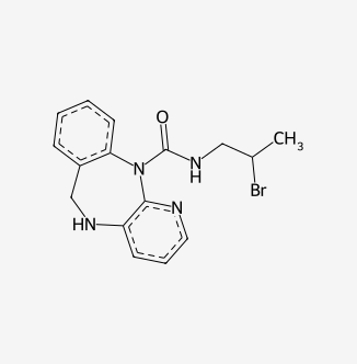 CC(Br)CNC(=O)N1c2ccccc2CNc2cccnc21